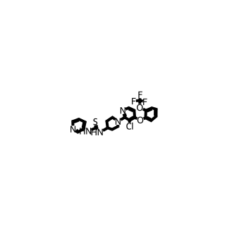 FC(F)(F)Oc1ccccc1Oc1ccnc(N2CCC(NC(=S)Nc3cccnc3)CC2)c1Cl